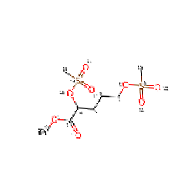 CC(C)OC(=O)C(CCCOS(C)(=O)=O)OS(C)(=O)=O